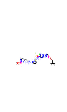 CC(C)(C)OC(=O)N1CC(CCCNc2cccc(SNC(=O)c3ccc(-n4ccc(OCCC5C(C)(C)C5(C)C)n4)nc3Cl)n2)CC1(C)C